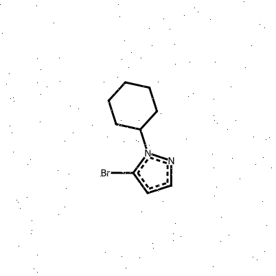 Brc1ccnn1C1CCCCC1